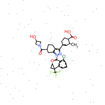 C[C@H]1C=C(c2nn(C(=O)c3c(Cl)cccc3C3(C(F)(F)F)CC3)c3c2CCC(C(=O)N2CC(O)C2)C3)CCC1C(=O)O